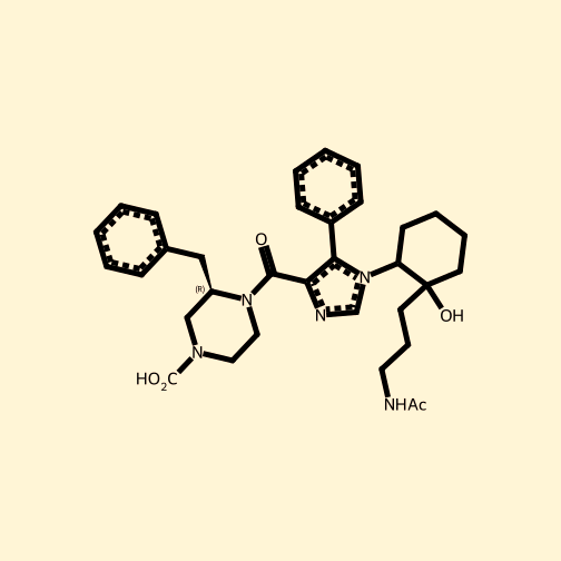 CC(=O)NCCCC1(O)CCCCC1n1cnc(C(=O)N2CCN(C(=O)O)C[C@H]2Cc2ccccc2)c1-c1ccccc1